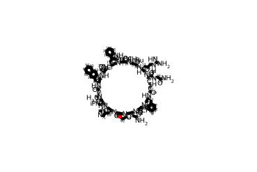 CCCC[C@H]1C(=O)N(C)[C@@H](CCCC)C(=O)N[C@@H](CCCNC(=N)N)C(=O)N[C@H](C(=O)NCC(N)=O)CSCC(=O)N[C@@H](Cc2ccccc2)C(=O)N(C)[C@@H](C)C(=O)N[C@@H](CC(N)=O)C(=O)N2CCC[C@H]2C(=O)N[C@@H](Cc2cnc[nH]2)C(=O)N[C@@H](CC(C)C)C(=O)N(C)CC(=O)N[C@@H](Cc2ccc3ccccc3c2)C(=O)N[C@@H](CO)C(=O)C[C@@H](Cc2c[nH]c3ccccc23)C(=O)N1C